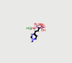 CN1C=NC(CCC(P(=O)(O)O)P(=O)(O)O)=CC1.Cl